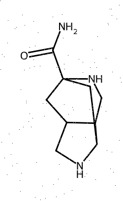 NC(=O)C12CC3CNC(C1)C3CN2